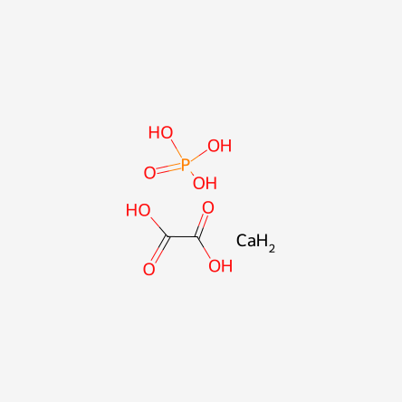 O=C(O)C(=O)O.O=P(O)(O)O.[CaH2]